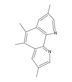 Cc1cnc2c(c1)c(C)c(C)c1cc(C)cnc12